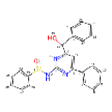 [O-][S+](Nc1nc(-c2ccccc2)cc(C(O)c2ccccc2)n1)c1ccccc1